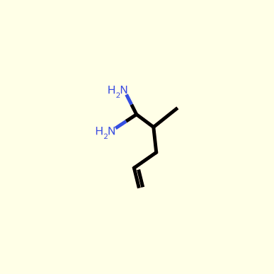 C=CCC(C)C(N)N